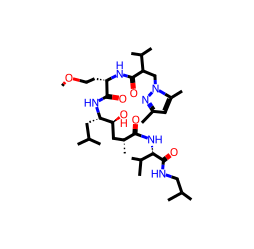 COCC[C@H](NC(=O)C(Cn1nc(C)cc1C)C(C)C)C(=O)N[C@@H](CC(C)C)[C@@H](O)C[C@@H](C)C(=O)N[C@H](C(=O)NCC(C)C)C(C)C